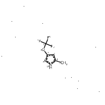 Cc1cc(OC(F)(F)F)n[nH]1